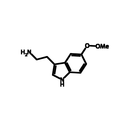 COOc1ccc2[nH]cc(CCN)c2c1